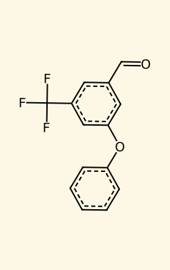 O=Cc1cc(Oc2ccccc2)cc(C(F)(F)F)c1